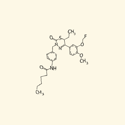 CCCCCC(=O)Nc1ccc(CN2N=C(c3ccc(OC)c(OCF)c3)C(CC)SC2=O)cc1